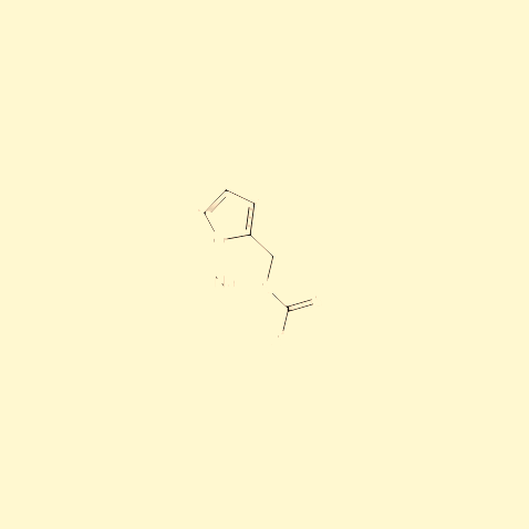 S=C([S-])SCc1ccco1.[Na+]